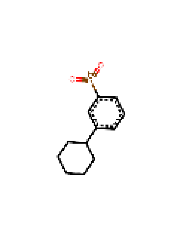 O=[SH](=O)c1cccc(C2CCCCC2)c1